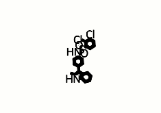 Cc1[nH]c2ccccc2c1-c1ccc(NS(=O)(=O)c2cccc(Cl)c2Cl)cc1